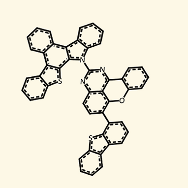 c1ccc2c(c1)Oc1c(-c3cccc4c3sc3ccccc34)ccc3nc(-n4c5ccccc5c5c6ccccc6c6c7ccccc7sc6c54)nc-2c13